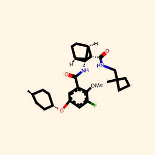 COc1c(F)cc(O[C@H]2CC[C@H](C)CC2)cc1C(=O)N[C@@H]1[C@H]2CC[C@H](C2)[C@@H]1C(=O)NCC1(C)CCC1